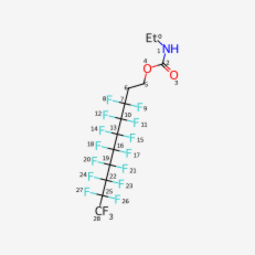 [CH2]CNC(=O)OCCC(F)(F)C(F)(F)C(F)(F)C(F)(F)C(F)(F)C(F)(F)C(F)(F)C(F)(F)F